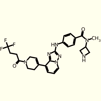 CN(C(=O)c1ccc(Nc2nc3c(C4=CCN(C(=O)CCC(F)(F)F)CC4)cccn3n2)cc1)C1CNC1